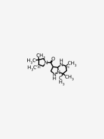 C[C@H]1CC(C)(C)N2NCC(C(=O)N3C[C@H](C)C(C)(C)C3)C2N1